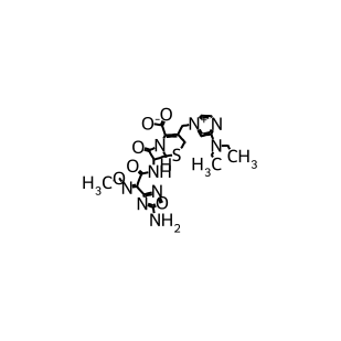 CCN(CC)c1c[n+](CC2=C(C(=O)[O-])N3C(=O)C(NC(=O)/C(=N\OC)c4noc(N)n4)[C@H]3SC2)ccn1